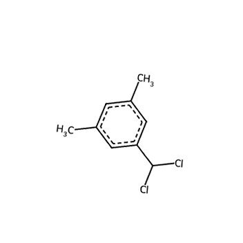 Cc1cc(C)cc(C(Cl)Cl)c1